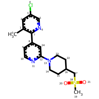 Cc1cc(Cl)cnc1-c1ccnc(N2CCC(CS(C)(=O)=O)CC2)c1